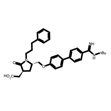 CCCCNC(=N)c1ccc(-c2ccc(OC[C@@H]3C[C@@H](CC(=O)O)C(=O)N3CCCc3ccccc3)cc2)cc1